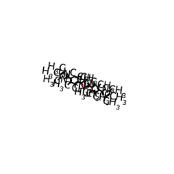 Cc1nc(-c2c(C)c(C)c(-c3nc(C)c(C)c(C)n3)c(C)c2C)c(C)nc1-c1c(C)c(C)c(-c2nc(C)c(C)c(C)n2)c(C)c1C